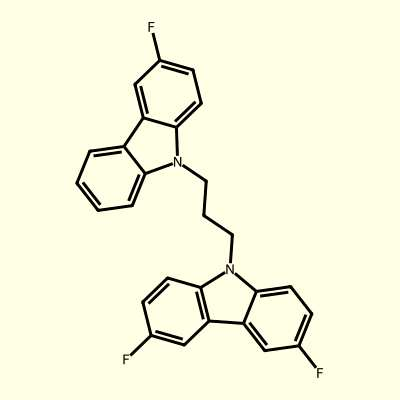 Fc1ccc2c(c1)c1ccccc1n2CCCn1c2ccc(F)cc2c2cc(F)ccc21